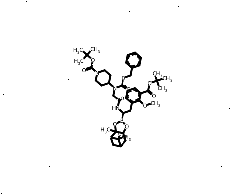 COc1c(CC(NC(=O)CN(C(=O)OCc2ccccc2)C2CCN(C(=O)OC(C)(C)C)CC2)B2OC3CC4CC(C4(C)C)C3(C)O2)cccc1C(=O)OC(C)(C)C